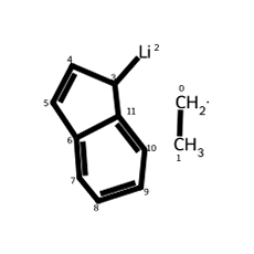 [CH2]C.[Li][CH]1C=Cc2ccccc21